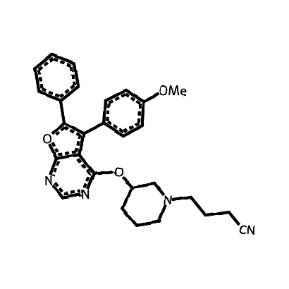 COc1ccc(-c2c(-c3ccccc3)oc3ncnc(OC4CCCN(CCCC#N)C4)c23)cc1